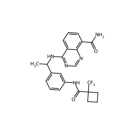 CC(Nc1ncnc2c(C(N)=O)cccc12)c1cccc(NC(=O)C2(C(F)(F)F)CCC2)c1